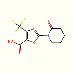 O=C(O)c1oc(N2CCCCC2=O)nc1C(F)(F)F